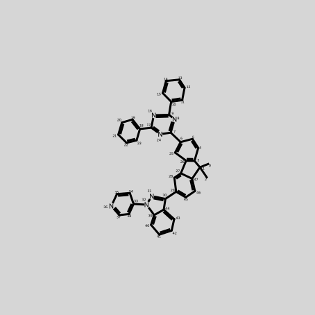 CC1(C)c2ccc(-c3nc(-c4ccccc4)nc(-c4ccccc4)n3)cc2-c2cc(-c3nn(-c4ccncc4)c4ccccc34)ccc21